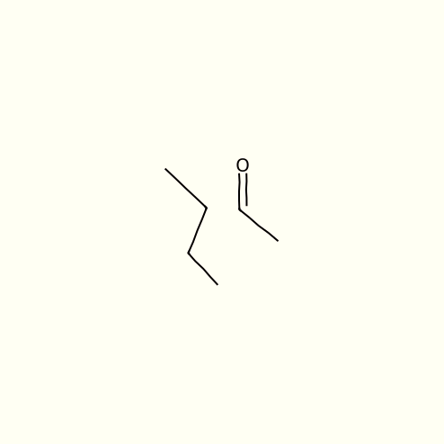 CC=O.CCCC